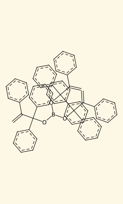 C=C(c1ccccc1)C(OB(OC(C(=C)c1ccccc1)(c1ccccc1)c1ccccc1)OC(C(=C)c1ccccc1)(c1ccccc1)c1ccccc1)(c1ccccc1)c1ccccc1